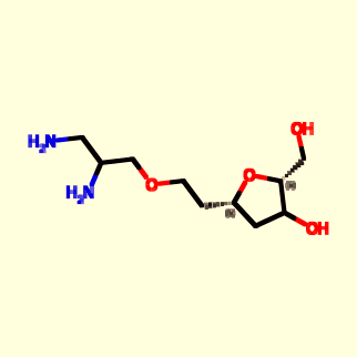 NCC(N)COCC[C@H]1CC(O)[C@@H](CO)O1